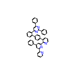 c1ccc(-c2cc(-c3ccccn3)nc(-c3ncccc3-c3ccc(-c4ccccc4-c4cc(-c5ccccc5)nc(-c5ccccc5)n4)cc3)c2)cc1